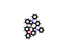 c1ccc(-n2c3c(c4ccccc42)B(c2cccc4c2oc2ccccc24)c2c(n(-c4ccccc4)c4ccccc24)-c2ccccc2-3)cc1